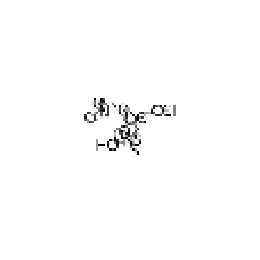 Cc1oc(-c2ccccc2)nc1CCOc1ccc(C=C2SC(=S)N(CC(=O)O)C2=O)c(OCc2ccc(Cl)cc2)c1